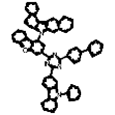 c1ccc(-c2ccc(-c3nc(-c4cc(-n5c6cc7ccccc7cc6c6c7ccccc7ccc65)c5c(c4)oc4ccccc45)nc(-c4ccc5c6ccccc6n(-c6ccccc6)c5c4)n3)cc2)cc1